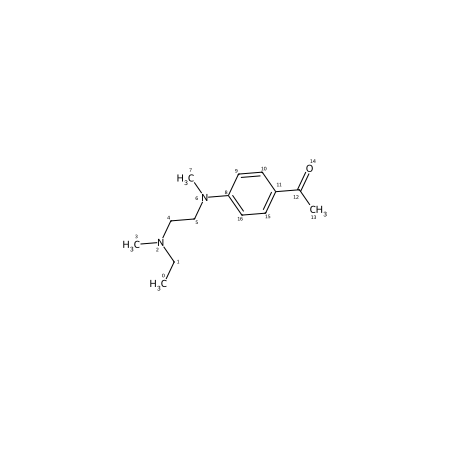 CCN(C)CCN(C)c1ccc(C(C)=O)cc1